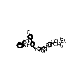 CCOC(=O)C1(C)CCN(C2=NOC3(C2)CN(Cc2ccc(-c4ccc(F)cc4OCc4ccccc4)c(OCC)c2)C3)CC1